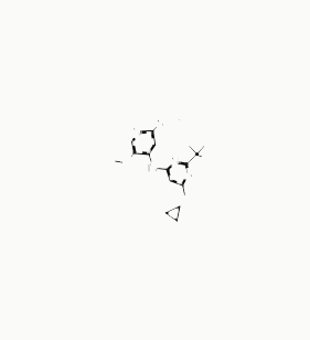 CCOc1cnc(NC(C)=O)cc1Nc1cc(OC2CC2)nc(C(C)(F)F)n1